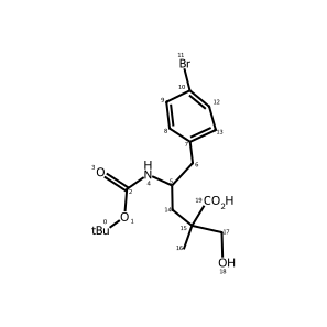 CC(C)(C)OC(=O)NC(Cc1ccc(Br)cc1)CC(C)(CO)C(=O)O